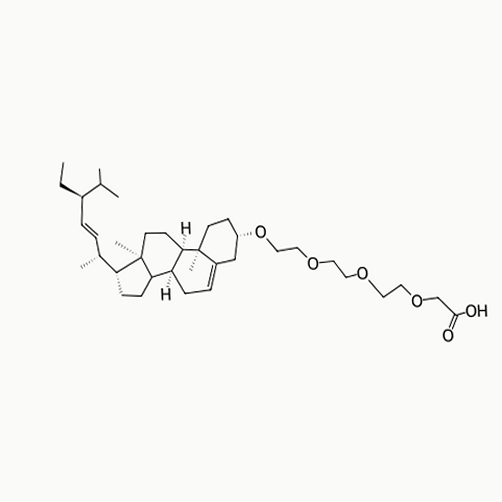 CC[C@H](/C=C/[C@@H](C)[C@H]1CCC2[C@@H]3CC=C4C[C@@H](OCCOCCOCCOCC(=O)O)CC[C@]4(C)[C@@H]3CC[C@@]21C)C(C)C